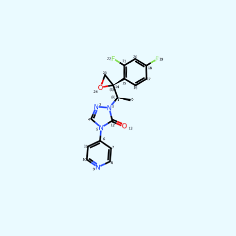 C[C@@H](n1ncn(-c2ccncc2)c1=O)[C@@]1(c2ccc(F)cc2F)CO1